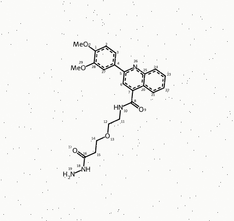 COc1ccc(-c2cc(C(=O)NCCOCCC(=O)NN)c3ccccc3n2)cc1OC